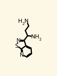 NCCC(N)c1nsc2ncccc12